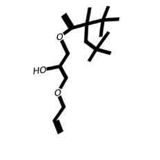 C=CCOCC(O)COC(=C)C(C)(CC(C)(C)C)C(C)(C)C